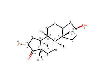 C[C@]12CC[C@H](O)CC1CC[C@@H]1[C@@H]2CC[C@]2(C)C(=O)[C@H](Br)C[C@@H]12